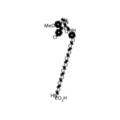 COc1ccc2c(c1)C(c1ccc(Cl)cc1)=N[C@H](CC(=O)Nc1ccc(OCCOCCOCCOCCOCCOCCOCCOCCOCCNC(=O)O)cc1)c1nnc(C)n1-2